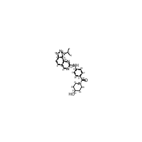 CC(C)n1nnc2ccc3cnc(Nc4ccc(C(=O)N5CCC(O)CC5)cc4)nc3c21